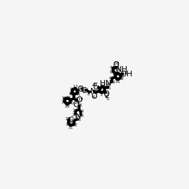 COc1cc(C(=O)NCCCOc2cccc(C(C(=O)OCC3CCN(Cc4ccccc4)CC3)c3ccccc3)c2)c(F)cc1CNCCc1ccc(O)c2[nH]c(=O)ccc12